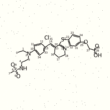 CCN(CCNS(C)(=O)=O)c1ccc(C=C2CCC[n+]3c2sc2ccc(OCC(=O)O)cc23)cc1.[Cl-]